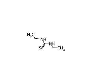 CCNC(=[Se])NCC